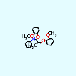 COc1ccccc1OC=C(C)/C(=N\c1ccccc1)Oc1ccccc1OC